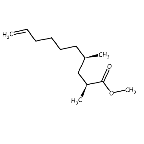 C=CCCCC[C@@H](C)C[C@H](C)C(=O)OC